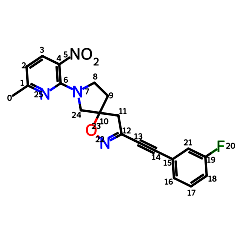 Cc1ccc([N+](=O)[O-])c(N2CCC3(CC(C#Cc4cccc(F)c4)=NO3)C2)n1